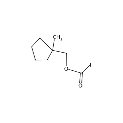 CC1(COC(=O)I)CCCC1